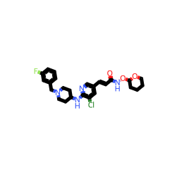 O=C(/C=C/c1cnc(NC2CCN(Cc3cccc(F)c3)CC2)c(Cl)c1)NOC1CCCCO1